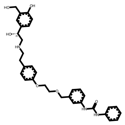 O=C(Nc1ccccc1)Nc1cccc(COCCOc2ccc(CCNC[C@H](O)c3ccc(O)c(CO)c3)cc2)c1